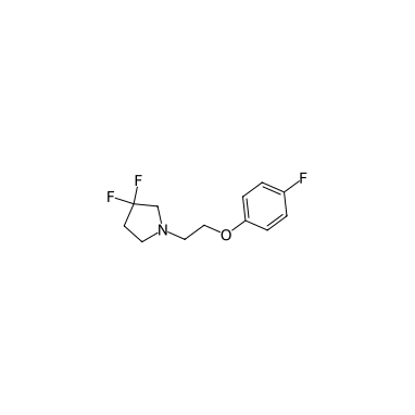 Fc1ccc(OCCN2CCC(F)(F)C2)cc1